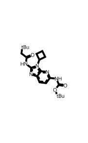 CC(C)(C)CC(=O)Nc1nc2ccc(NC(=O)OC(C)(C)C)nc2n1C1CCC1